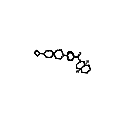 O=C(c1ccc(N2CCC3(CC2)CCN(C2CCC2)CC3)cc1)N1CC[C@H]2CCCC[C@@H]2C1